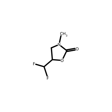 CN1CC(C(F)F)OC1=O